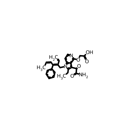 C=C/C(Cn1c(CC)c(C(=O)C(N)=O)c2c(OCC(=O)O)nccc21)=C(\C=C/C)c1ccccc1